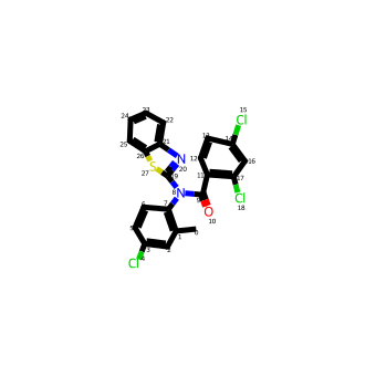 Cc1cc(Cl)ccc1N(C(=O)c1ccc(Cl)cc1Cl)c1nc2ccccc2s1